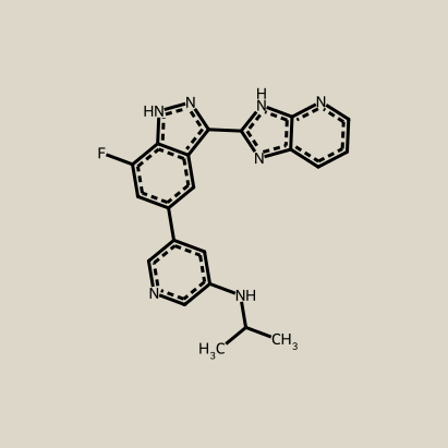 CC(C)Nc1cncc(-c2cc(F)c3[nH]nc(-c4nc5cccnc5[nH]4)c3c2)c1